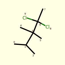 C[C](C)C(C)(C)C(C)(Cl)Cl